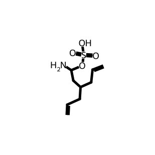 C=CCC(CC=C)CC(N)OS(=O)(=O)O